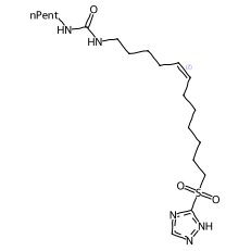 CCCCCNC(=O)NCCCC/C=C\CCCCCCS(=O)(=O)c1ncn[nH]1